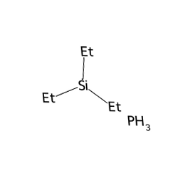 CC[Si](CC)CC.P